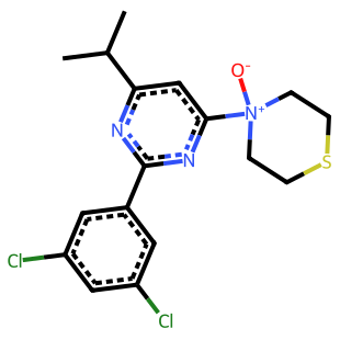 CC(C)c1cc([N+]2([O-])CCSCC2)nc(-c2cc(Cl)cc(Cl)c2)n1